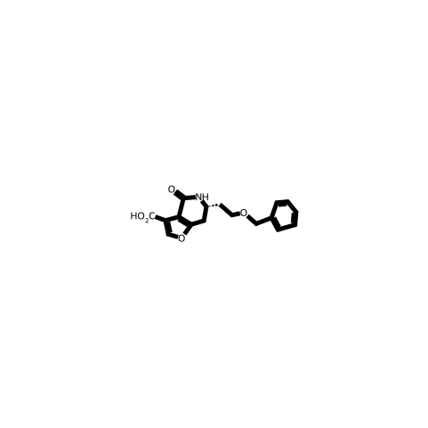 O=C(O)c1coc2c1C(=O)N[C@H](CCOCc1ccccc1)C2